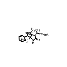 CCCCCC(O)[C@H]1C(=O)N[C@](C(=O)O)([C@@H](O)C2C=CCCC2)[C@@]1(C)O